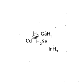 [Cd].[GaH3].[InH3].[SeH2].[SeH2]